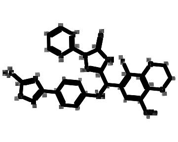 COc1cc(C(Nc2ccc(-c3noc(C)n3)cc2)c2nn(-c3ncccn3)c(=O)[nH]2)c(F)c2c1OCCO2